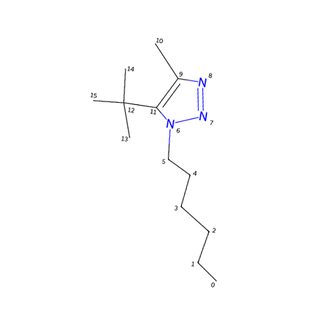 CCCCCCn1nnc(C)c1C(C)(C)C